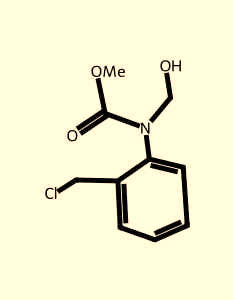 COC(=O)N(CO)c1ccccc1CCl